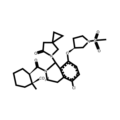 C[C@]1(C(=O)O)CCCC[C@H]1C(=O)N1CCc2c(Cl)ccc(O[C@H]3CCN(S(C)(=O)=O)C3)c2C1N1CC2(CC2)CC1=O